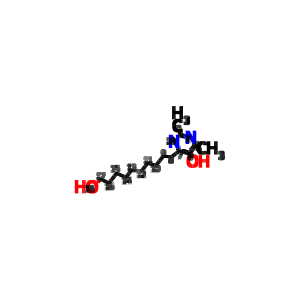 Cc1nc(C)c(O)c(CCCCCCCCCCO)n1